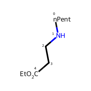 CCCCCNCCC(=O)OCC